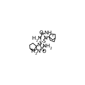 NP(N)(=O)N(SSN(C12CCC(CC1)C2)P(N)(N)=O)C12CCC(CC1)C2